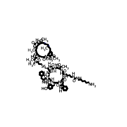 COc1cc2cc(c1Cl)N(C)C(=O)C[C@H](OC(=O)[C@H](C)N(C)C(=O)CCSSC[C@H](NC(=O)[C@@H]1CSSC[C@H](NC(=O)[C@H](N)Cc3ccccc3)C(=O)N[C@@H](Cc3ccc(O)cc3)C(=O)N[C@H](Cc3c[nH]c4ccccc34)C(=O)N[C@@H](CCCCNC(=O)NCCCCCCN)C(=O)N[C@@H]([C@@H](C)O)C(=O)N1)C(N)=O)[C@]1(C)OC1[C@H](C)[C@@H]1C[C@@](O)(NC(=O)O1)[C@H](OC)/C=C/C=C(\C)C2